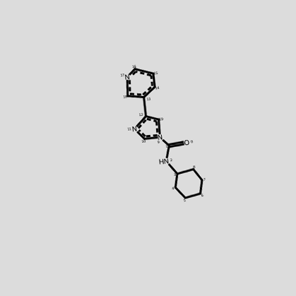 O=C(NC1CCCCC1)n1cnc(-c2cccnc2)c1